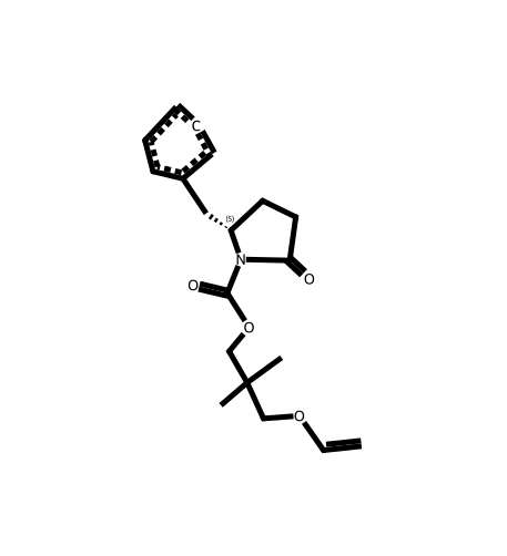 C=COCC(C)(C)COC(=O)N1C(=O)CC[C@H]1Cc1ccccc1